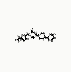 O=c1nc(N2CC=C(c3cccc(F)n3)CC2)ncn1Cc1ccc(C(F)(F)F)s1